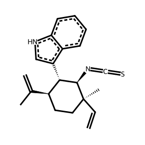 C=C[C@@]1(C)CC[C@@H](C(=C)C)[C@H](c2c[nH]c3ccccc23)[C@H]1N=C=S